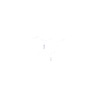 [CH2]CN(CCC)C(=O)C(C)C